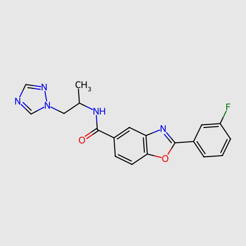 CC(Cn1cncn1)NC(=O)c1ccc2oc(-c3cccc(F)c3)nc2c1